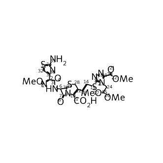 CON=C(C(=O)NC1C(=O)N2C(C(=O)O)=C(C=CSc3nnc(C(=O)OC)n3CC(OC)OC)CSC12)c1csc(N)n1